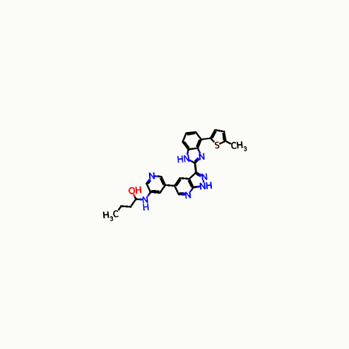 CCCC(O)Nc1cncc(-c2cnc3[nH]nc(-c4nc5c(-c6ccc(C)s6)cccc5[nH]4)c3c2)c1